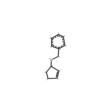 [CH]1C=CC(OCc2ccccc2)C1